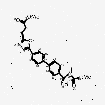 COC(=O)CCc1nnc(-c2ccc(-c3ccc(C(=N)NC(=O)OC)cc3)cc2)s1